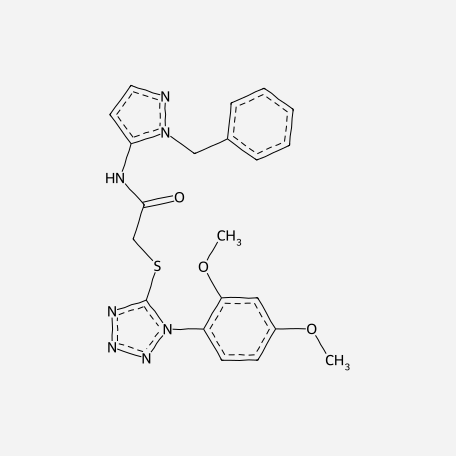 COc1ccc(-n2nnnc2SCC(=O)Nc2ccnn2Cc2ccccc2)c(OC)c1